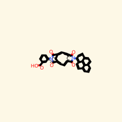 C=C1/C2=C\C=C3/C/C(=C\C=C/1C(=O)N(c1cccc(C(=O)O)c1)C2=O)C(=O)N(c1ccc2ccc4cccc5ccc1c2c45)C3=O